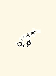 Cc1ccc(CO[C@H](C[C@@H]2C[C@@]2(F)C(=O)O)C(C)(N)C(=O)O[C@@H](C)OC(=O)O[C@@H]2C[C@H](C)CC[C@H]2C(C)C)cc1